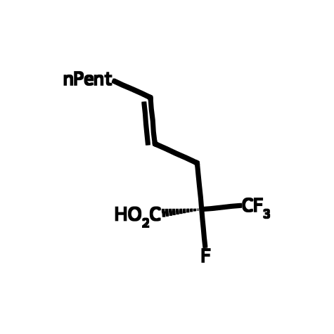 CCCCC/C=C/C[C@@](F)(C(=O)O)C(F)(F)F